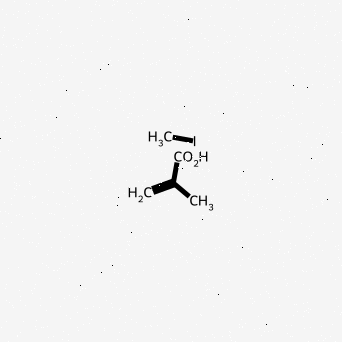 C=C(C)C(=O)O.CI